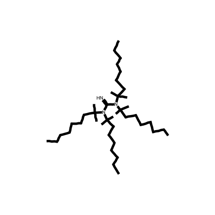 CCCCCCCC(C)(C)N(C(=N)N(C(C)(C)CCCCCCC)C(C)(C)CCCCCCC)C(C)(C)CCCCCCC